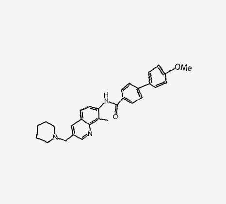 COc1ccc(-c2ccc(C(=O)Nc3ccc4cc(CN5CCCCC5)cnc4c3C)cc2)cc1